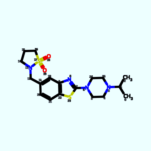 CC(C)N1CCN(c2nc3cc(CN4CCCS4(=O)=O)ccc3s2)CC1